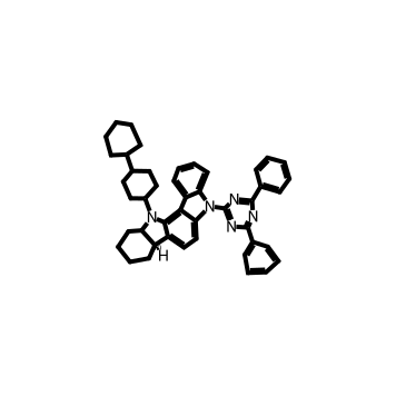 c1ccc(-c2nc(-c3ccccc3)nc(-n3c4ccccc4c4c5c(ccc43)[C@H]3CCCCC3N5C3CCC(C4CCCCC4)CC3)n2)cc1